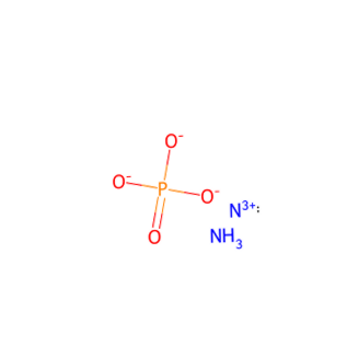 N.O=P([O-])([O-])[O-].[N+3]